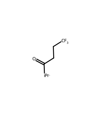 C[C](C)C(=O)CCC(F)(F)F